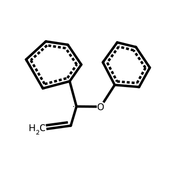 C=C[C](Oc1ccccc1)c1ccccc1